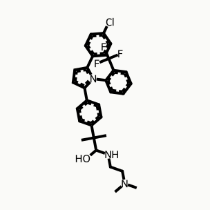 CN(C)CCNC(O)C(C)(C)c1ccc(-c2ccc(-c3ccc(Cl)cc3)n2-c2ccccc2C(F)(F)F)cc1